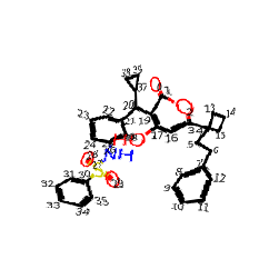 O=c1oc(C2(CCc3ccccc3)CCC2)cc(O)c1C(c1cccc(NS(=O)(=O)c2ccccc2)c1)C1CC1